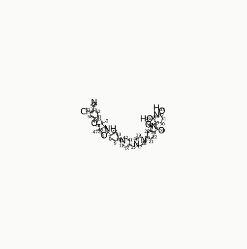 CC1(C)[C@H](NC(=O)c2ccc(N3CCC(CN4CCN(c5ccc6c(c5)C(=O)N(C5CCC(=O)NC5O)C6=O)CC4)CC3)cc2)C(C)(C)[C@H]1Oc1ccc(C#N)c(Cl)c1